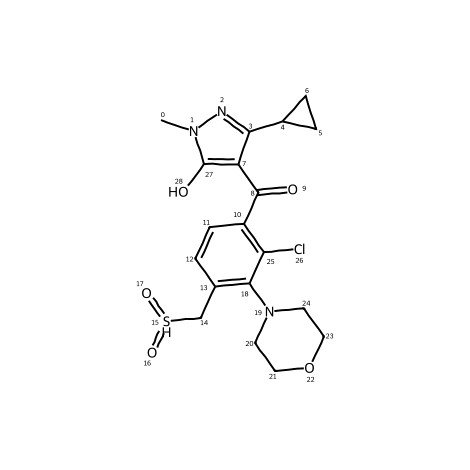 Cn1nc(C2CC2)c(C(=O)c2ccc(C[SH](=O)=O)c(N3CCOCC3)c2Cl)c1O